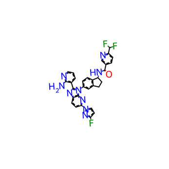 Nc1ncccc1-c1nc2ccc(-n3ccc(F)n3)nc2n1-c1ccc2c(c1)CC[C@@H]2NC(=O)c1ccc(C(F)F)nc1